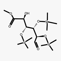 COC(=O)[C@@H](O)[C@@H](O[Si](C)(C)C)[C@H](O[Si](C)(C)C)[C@H](C=O)O[Si](C)(C)C